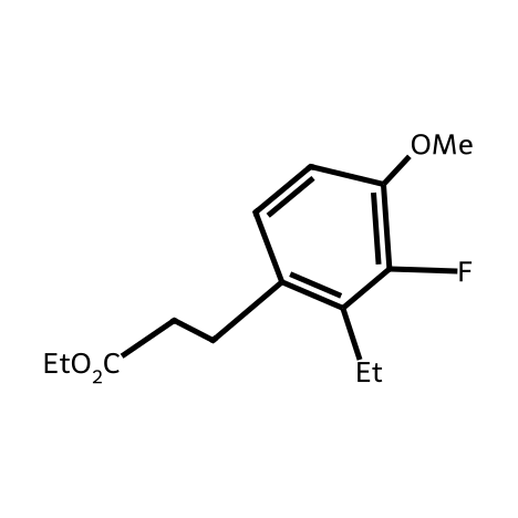 CCOC(=O)CCc1ccc(OC)c(F)c1CC